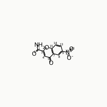 NC(=O)c1cc(=O)c2cc([N+](=O)[O-])ccc2o1